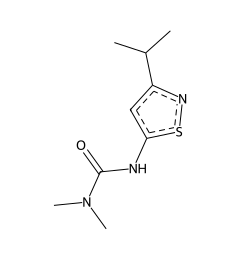 CC(C)c1cc(NC(=O)N(C)C)sn1